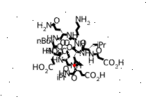 CCCC[C@H](NC(=O)[C@H](CCC(N)=O)NC(=O)[C@H](CCCCN)NC(=O)[C@@H](CC1CC1)NC(=O)[C@H](CC(C)C)NC(=O)CCC(=O)O)C(=O)N[C@@H](CCC(=O)O)C(=O)N[C@@H](CCC(=O)O)C(=O)N[C@@H](CCC(=O)O)C(=O)NC(C)C